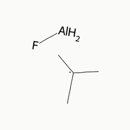 C[C](C)C.[F][AlH2]